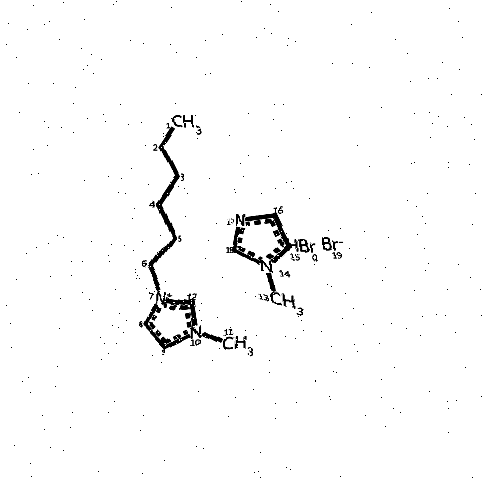 Br.CCCCCC[n+]1ccn(C)c1.Cn1ccnc1.[Br-]